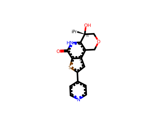 CC(C)[C@@]1(O)COCc2c1[nH]c(=O)c1sc(-c3ccncc3)cc21